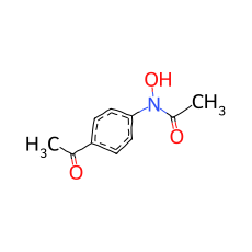 CC(=O)c1ccc(N(O)C(C)=O)cc1